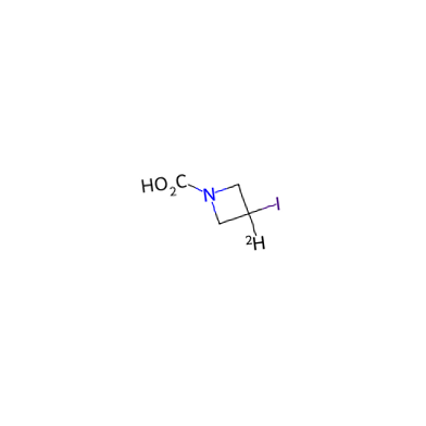 [2H]C1(I)CN(C(=O)O)C1